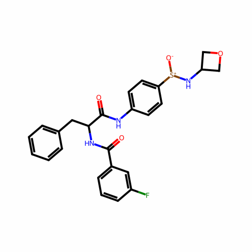 O=C(NC(Cc1ccccc1)C(=O)Nc1ccc([S+]([O-])NC2COC2)cc1)c1cccc(F)c1